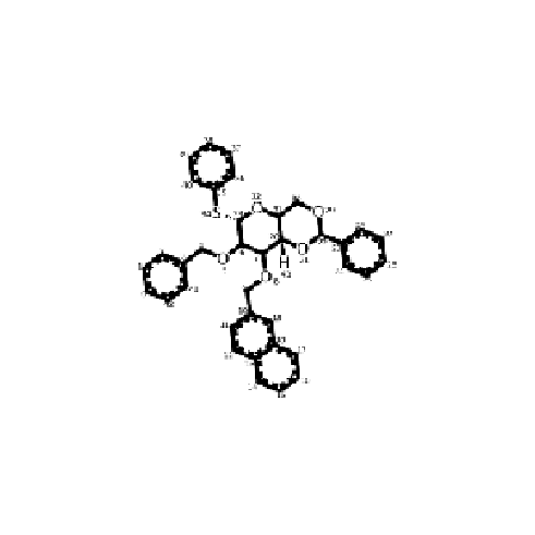 c1ccc(COC2C(OCc3ccc4ccccc4c3)[C@H]3OC(c4ccccc4)OCC3O[C@H]2Sc2ccccc2)cc1